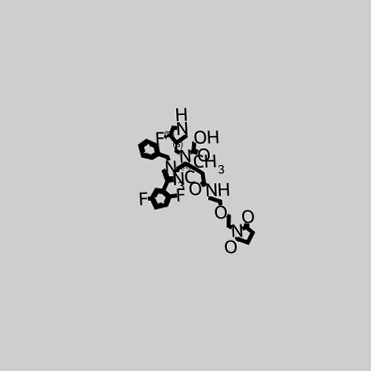 CC(C)(CC(=O)NCCOCCN1C(=O)CCC1=O)[C@H](c1nc(-c2cc(F)ccc2F)cn1Cc1ccccc1)N(C[C@@H]1CNC[C@@H]1F)C(=O)CO